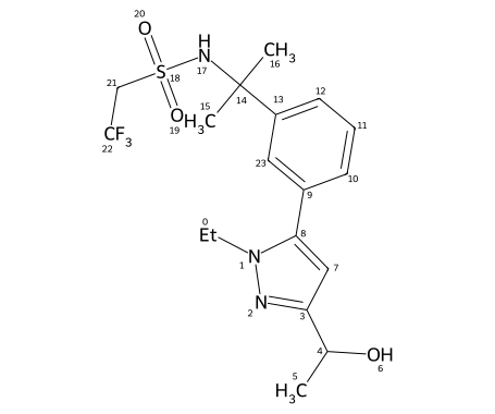 CCn1nc(C(C)O)cc1-c1cccc(C(C)(C)NS(=O)(=O)CC(F)(F)F)c1